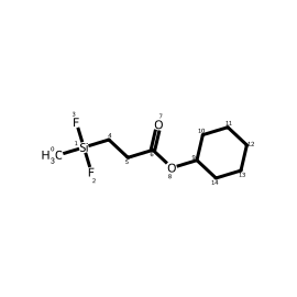 C[Si](F)(F)CCC(=O)OC1CCCCC1